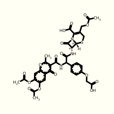 CC(=O)OCC1=C(C(=O)O)N2C(=O)[C@@H](NC(=O)C(NC(=O)c3c(C)oc4cc(OC(C)=O)c(OC(C)=O)cc4c3=O)c3ccc(OCC(=O)O)cc3)[C@H]2SC1